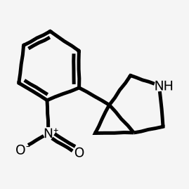 O=[N+]([O-])c1ccccc1C12CNCC1C2